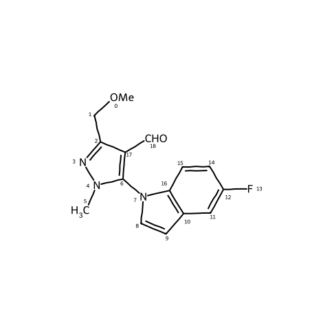 COCc1nn(C)c(-n2ccc3cc(F)ccc32)c1C=O